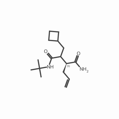 C=CC[C@H](C(N)=O)C(CC1CCC1)C(=O)NC(C)(C)C